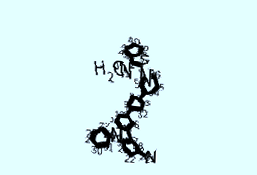 C=Nc1c(N2C=C(c3ccc(-c4ccc5c(c4)c4cc(C#N)ccc4n5-c4ccccc4)cc3)C=CC2)sc2ccccc12